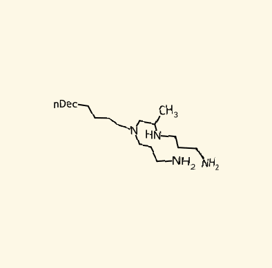 CCCCCCCCCCCCCCN(CCCN)CC(C)NCCCN